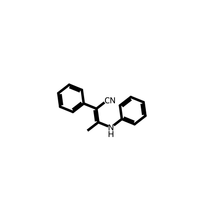 CC(Nc1ccccc1)=C(C#N)c1ccccc1